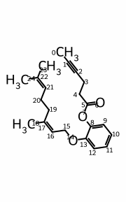 CC#CCCC(=O)Oc1ccccc1OC/C=C(/C)CCC=C(C)C